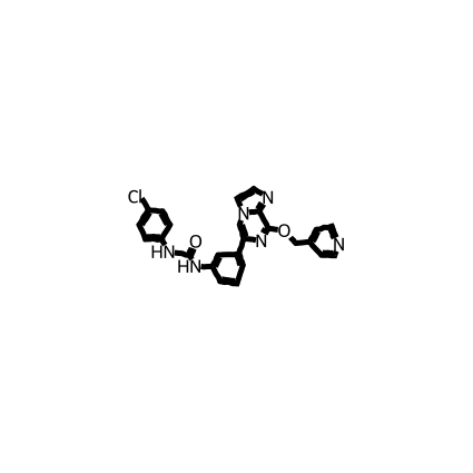 O=C(Nc1ccc(Cl)cc1)Nc1cccc(-c2cn3ccnc3c(OCc3ccncc3)n2)c1